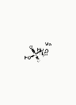 O.O.O=S(=O)(O)O.[Mo]